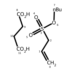 C=CCS(=O)(=O)OCCCC.O=C(O)CCC(=O)O